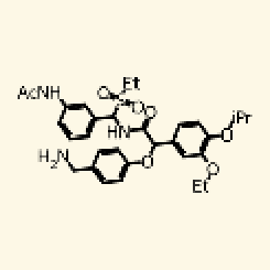 CCOc1cc(C(Oc2ccc(CN)cc2)C(=O)NC(c2cccc(NC(C)=O)c2)S(=O)(=O)CC)ccc1OC(C)C